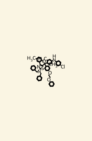 Cc1ccc2c(c1)-c1nc(N(Cc3ccccc3)Cc3ccccc3)sc1C(c1ccc(Nc3ccc(Cl)cc3)cc1C)(c1ccc(OCCOc3ccccc3)cc1C)O2